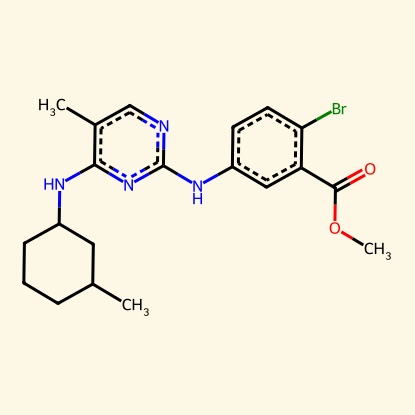 COC(=O)c1cc(Nc2ncc(C)c(NC3CCCC(C)C3)n2)ccc1Br